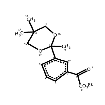 CCOC(=O)C(=O)c1cccc(C2(C)OCC(C)(C)CO2)c1